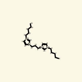 CCCCCn1cc[n+](CCCn2cc[n+](CCCCC)c2)c1